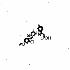 CCOc1ccc(S(=O)(=O)N2C[C@@H](C)[C@@H](n3nc(CC(=O)O)c4ccc(C)cc43)C2)c(Cl)c1